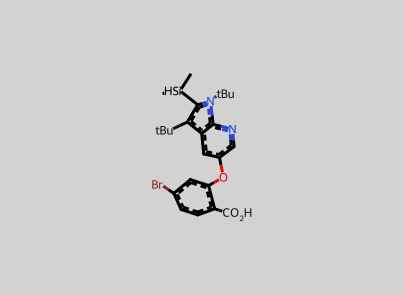 C[SiH](C)c1c(C(C)(C)C)c2cc(Oc3cc(Br)ccc3C(=O)O)cnc2n1C(C)(C)C